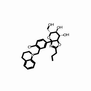 CCCC1=NC2(c3ccc(Cl)c(CN4CCCc5ccccc54)c3)O[C@H](CO)[C@@H](O)[C@H](O)C2O1